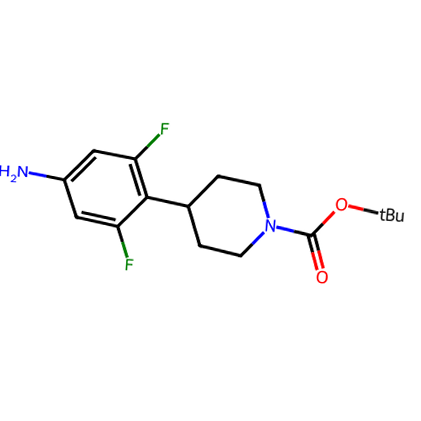 CC(C)(C)OC(=O)N1CCC(c2c(F)cc(N)cc2F)CC1